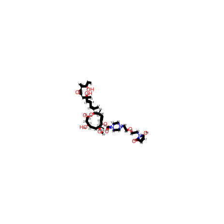 CCC(O)C(C)[C@@H]1O[C@H]1CC(C)(O)/C=C/C=C(\C)[C@H]1OC(=O)C[C@H](O)CC[C@@](C)(OC)[C@@H](OC(=O)N2CCN(CCOCCN3C(=O)C=CC3=O)CC2)/C=C/[C@@H]1C